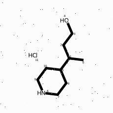 CC(CCO)C1CCNCC1.Cl